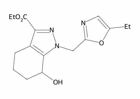 CCOC(=O)c1nn(Cc2ncc(CC)o2)c2c1CCCC2O